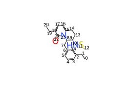 CCc1cccc(CC2C(NSC)CCc3ccc(CC)c(=O)n32)c1